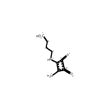 Nc1c(NCCCC(=O)O)c(=O)c1=O